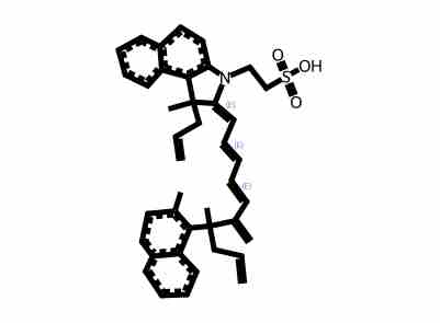 C=CCC(C)(C(=C)/C=C/C=C/C=C1/N(CCS(=O)(=O)O)c2ccc3ccccc3c2C1(C)CC=C)c1c(C)ccc2ccccc12